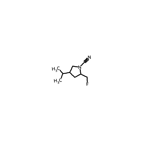 CC(C)C1CC(CF)N(C#N)C1